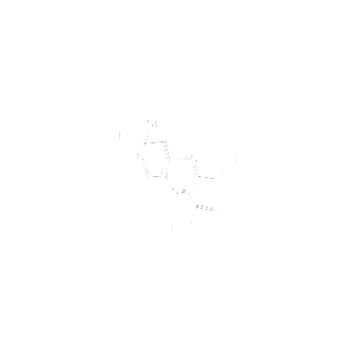 COC1=NC2=CC(C)(N)N=CN2N=C1C(C)=O